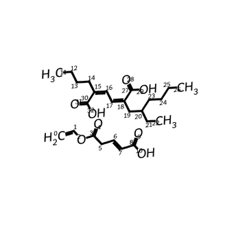 C=COC(=O)CC=CC(=O)O.CCCCC(=CC=C(CC(CC)CCCC)C(=O)O)C(=O)O